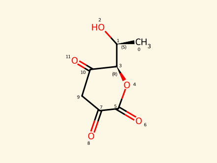 C[C@H](O)[C@H]1OC(=O)C(=O)CC1=O